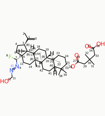 C=C(C)[C@@H]1CC[C@]2(C(F)/N=N/CO)CC[C@]3(C)[C@H](CC[C@@H]4[C@@]5(C)CC[C@H](OC(=O)CC(C)(C)CC(=O)O)C(C)(C)[C@@H]5CC[C@]43C)[C@@H]12